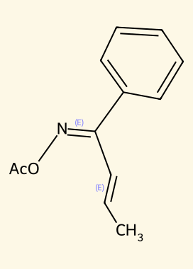 C/C=C/C(=N\OC(C)=O)c1ccccc1